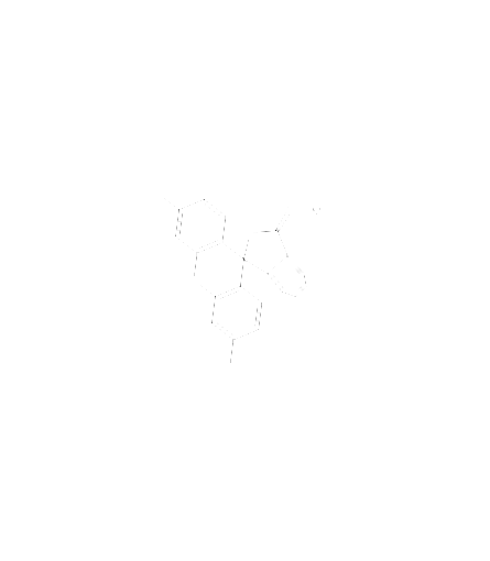 O=C1OC2(c3ccc(O)cc3Oc3cc(O)ccc32)c2ccccc21.[MgH2]